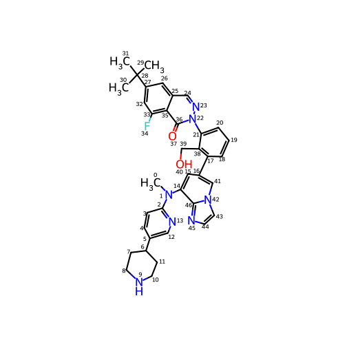 CN(c1ccc(C2CCNCC2)cn1)c1cc(-c2cccc(-n3ncc4cc(C(C)(C)C)cc(F)c4c3=O)c2CO)cn2ccnc12